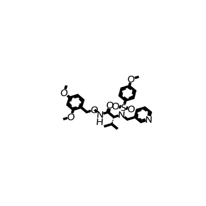 COc1ccc(S(=O)(=O)N(Cc2cccnc2)[C@@H](C(=O)NOCc2ccc(OC)cc2OC)C(C)C)cc1